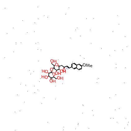 COc1ccc2cc(/C=C/C(=O)C[C@@H]3OC(CO)[C@@H](O[C@H]4OC(CO)[C@@H](O)C(O)C4O)C(O)C3O)ccc2c1